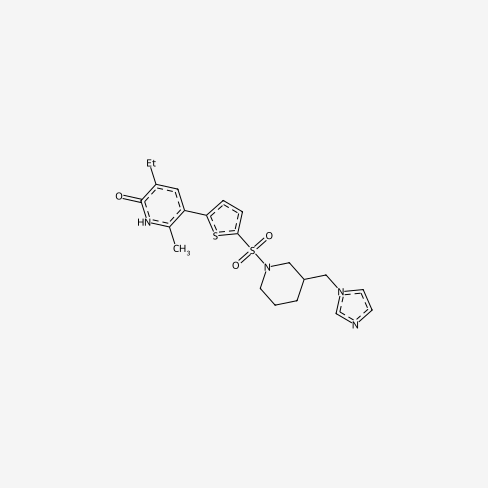 CCc1cc(-c2ccc(S(=O)(=O)N3CCCC(Cn4ccnc4)C3)s2)c(C)[nH]c1=O